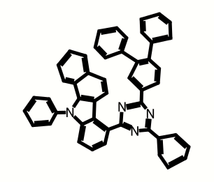 c1ccc(-c2nc(-c3ccc(-c4ccccc4)c(-c4ccccc4)c3)nc(-c3cccc4c3c3ccc5ccccc5c3n4-c3ccccc3)n2)cc1